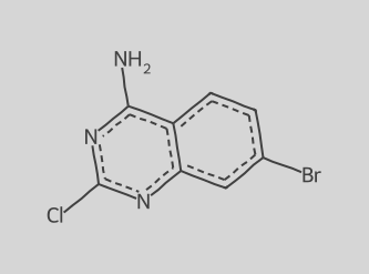 Nc1nc(Cl)nc2cc(Br)ccc12